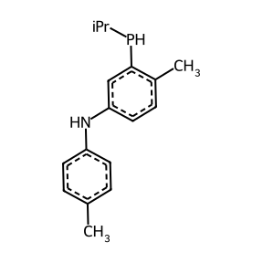 Cc1ccc(Nc2ccc(C)c(PC(C)C)c2)cc1